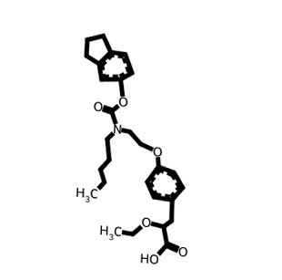 CCCCCN(CCOc1ccc(CC(OCC)C(=O)O)cc1)C(=O)Oc1ccc2c(c1)CCC2